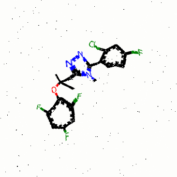 Cn1c(-c2ccc(F)cc2Cl)nnc1C(C)(C)Oc1c(F)cc(F)cc1F